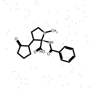 CN1CCC(C2CCCC2=O)[C@@]1(NC(=O)c1ccccc1)C(=O)O